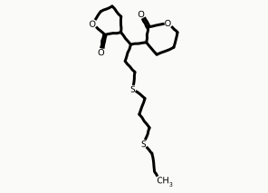 CCCSCCCSCCC(C1CCCOC1=O)C1CCCOC1=O